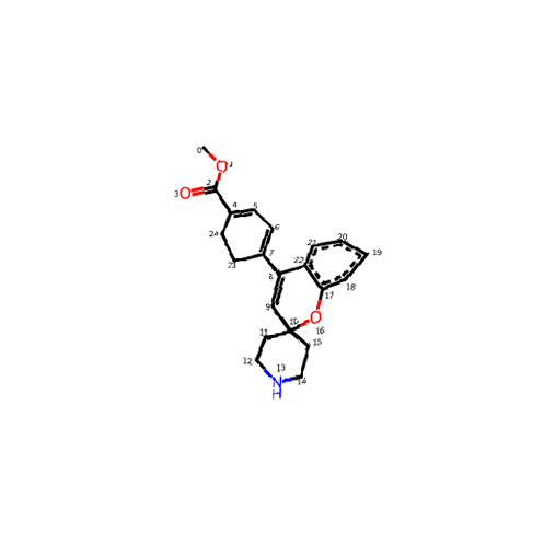 COC(=O)C1=CC=C(C2=CC3(CCNCC3)Oc3ccccc32)CC1